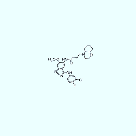 COc1cc2ncnc(Nc3ccc(F)c(Cl)c3)c2cc1NC(=O)/C=C/CN1CCOC2CCCCC21